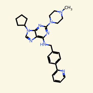 CN1CCN(c2nc(NCc3ccc(-c4ccccn4)cc3)c3ncn(C4CCCC4)c3n2)CC1